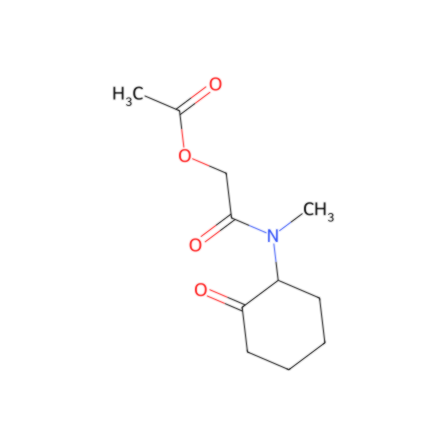 CC(=O)OCC(=O)N(C)C1CCCCC1=O